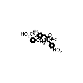 CCc1cc(C[C@H](N)C(=O)N(C(C)=O)[C@H](C)c2ccc([N+](=O)[O-])cc2)ccc1N(C(=O)C(=O)O)c1ccccc1C(=O)O